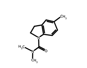 Cc1ccc2c(c1)CCN2C(=O)N(C)C